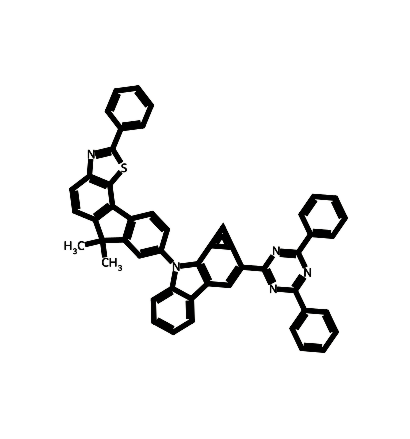 CC1(C)c2cc(-n3c4ccccc4c4cc(-c5nc(-c6ccccc6)nc(-c6ccccc6)n5)c5c(c43)=C=5)ccc2-c2c1ccc1nc(-c3ccccc3)sc21